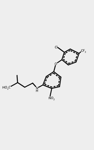 CC(CCNc1cc(Oc2ccc(C(F)(F)F)cc2Cl)ccc1[N+](=O)[O-])C(=O)O